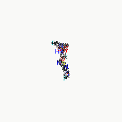 O=C(Nc1ccc(Oc2ccnc3cc(-c4ccc(CN5CCC(F)CC5)cn4)sc23)c(F)c1)c1c2c(cn(-c3ccc(F)cc3)c1=O)CCO2